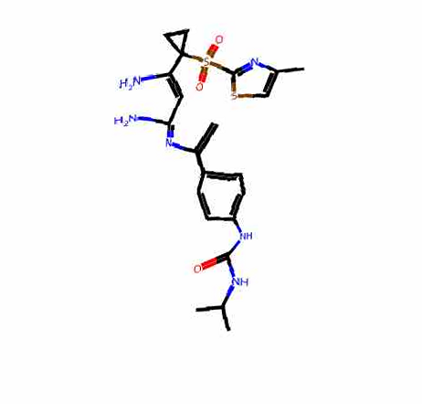 C=C(/N=C(N)\C=C(/N)C1(S(=O)(=O)c2nc(C)cs2)CC1)c1ccc(NC(=O)NC(C)C)cc1